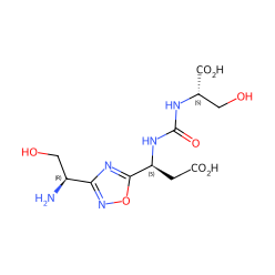 N[C@@H](CO)c1noc([C@H](CC(=O)O)NC(=O)N[C@@H](CO)C(=O)O)n1